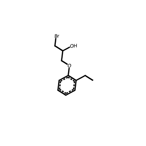 CCc1ccccc1OCC(O)CBr